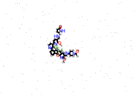 COc1nc(-c2ccnc(-c3cccc4c3CC[C@@H]4Oc3nc(OC)c(CNC4CCN(C(C)=O)CC4)cc3C(F)(F)F)c2Cl)ccc1CNC[C@@H]1CCC(=O)N1